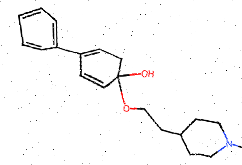 CN1CCC(CCOC2(O)C=CC(c3ccccc3)=CC2)CC1